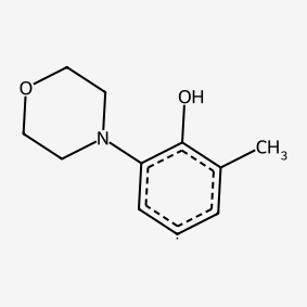 Cc1c[c]cc(N2CCOCC2)c1O